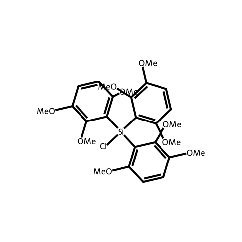 COc1ccc(OC)c([Si](Cl)(c2c(OC)ccc(OC)c2OC)c2c(OC)ccc(OC)c2OC)c1OC